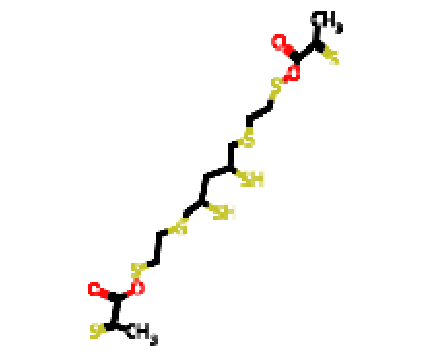 CC(=S)C(=O)OSCCSCC(S)CC(S)CSCCSOC(=O)C(C)=S